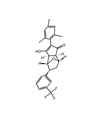 Cc1cc(C)c(C2=C(O)[C@@H]3[C@@H]4O[C@@H](C[C@H]4c4cccc(C(F)(F)F)c4)[C@@H]3C2=O)c(C)c1